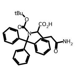 CC(C)(C)OC(=O)N(C(CCC(N)=O)C(=O)O)C(c1ccccc1)(c1ccccc1)c1ccccc1